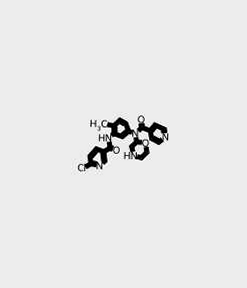 Cc1ccc(N(C(=O)c2ccncc2)C2CNCCO2)cc1NC(=O)c1ccc(Cl)nc1